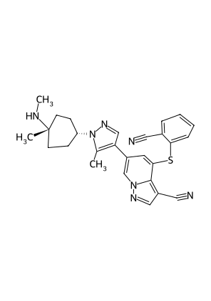 CN[C@]1(C)CC[C@H](n2ncc(-c3cc(Sc4ccccc4C#N)c4c(C#N)cnn4c3)c2C)CC1